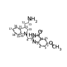 COc1ccc2nc(CN3CC(CCN)c4ccccc43)[nH]c(=O)c2c1